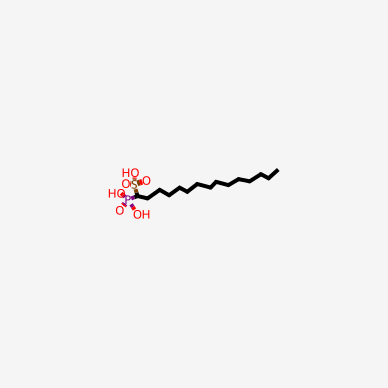 CCCCCCCCCCCCCCC(P(=O)(O)O)S(=O)(=O)O